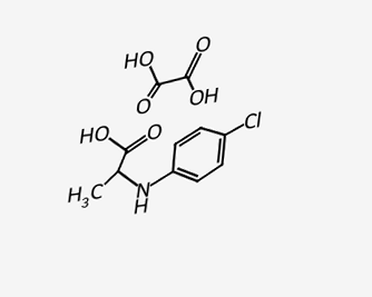 CC(Nc1ccc(Cl)cc1)C(=O)O.O=C(O)C(=O)O